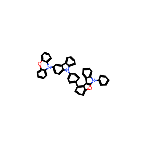 c1ccc(-n2c3ccccc3c3c4c(-c5ccc(-n6c7ccccc7c7cc(N8c9ccccc9Oc9ccccc98)ccc76)cc5)cccc4oc32)cc1